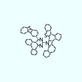 c1ccc2c(c1)ccc1c3c4ccccc4c4c5ccccc5sc4c3n(-c3nc(-c4ccc5sc6ccccc6c5c4)c4c5ccccc5c5ccccc5c4n3)c21